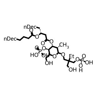 CCCCCCCCCCCCCC(=O)O[C@H](CCCCCCCCCCC)CC(=O)O[C@@H]1[C@H](C)C(OCC(CC)(CO)COP(=O)(O)O)OC(CO)[C@H]1OP(=O)(O)O